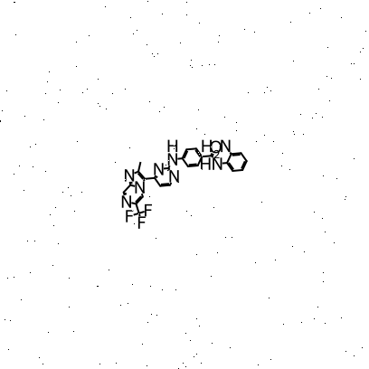 Cc1nc2cnc(C(F)(F)F)cn2c1-c1ccnc(Nc2ccc(C(=O)Nc3ccccc3N)cc2)n1